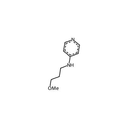 COCCCNc1ccncc1